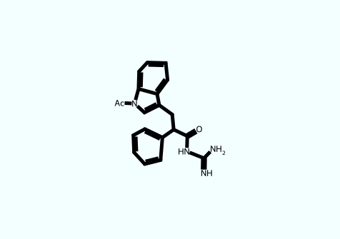 CC(=O)n1cc(CC(C(=O)NC(=N)N)c2ccccc2)c2ccccc21